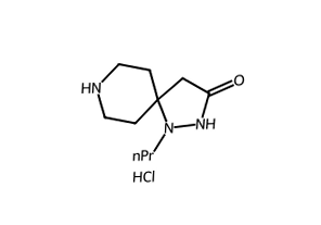 CCCN1NC(=O)CC12CCNCC2.Cl